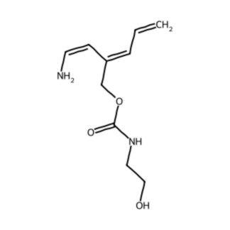 C=C/C=C(\C=C/N)COC(=O)NCCO